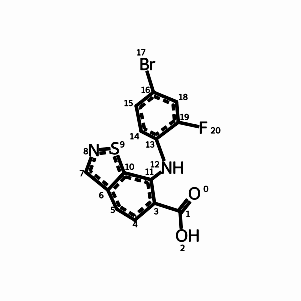 O=C(O)c1ccc2cnsc2c1Nc1ccc(Br)cc1F